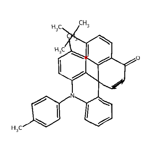 Cc1ccc(N2c3ccccc3C3(c4ccccc4C(=O)c4ccc(C(C)(C)C)cc43)c3cc(C)ccc32)cc1